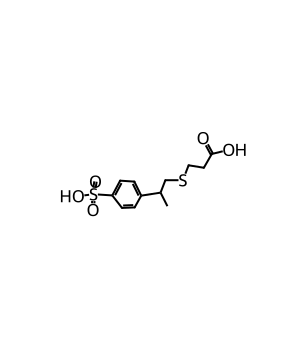 CC(CSCCC(=O)O)c1ccc(S(=O)(=O)O)cc1